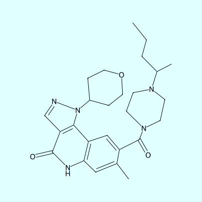 CCCC(C)N1CCN(C(=O)c2cc3c(cc2C)[nH]c(=O)c2cnn(C4CCOCC4)c23)CC1